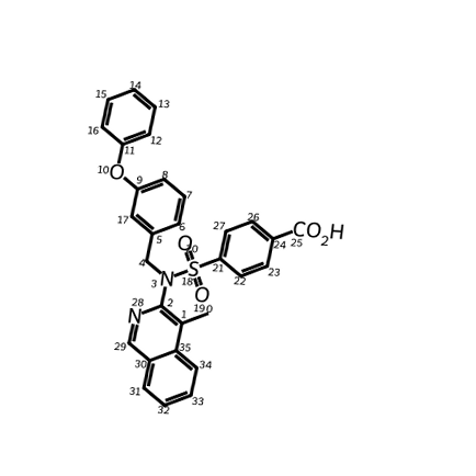 Cc1c(N(Cc2cccc(Oc3ccccc3)c2)S(=O)(=O)c2ccc(C(=O)O)cc2)ncc2ccccc12